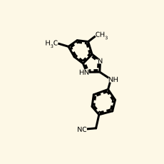 Cc1cc(C)c2nc(Nc3ccc(CC#N)cc3)[nH]c2c1